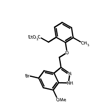 CCOC(=O)Cc1cccc(C)c1OCc1n[nH]c2c(OC)cc(Br)cc12